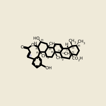 C[C@H]1[C@H](C)CC[C@]2(C(=O)O)CC[C@]3(C)C(=CCC4[C@@]5(C)C[C@@H](O)[C@@H]6OC(=O)/C=C/c7ccc(O)cc7[C@@]6(C)C5CC[C@]43C)[C@H]12